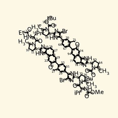 CCC(=O)N[C@H](C(=O)N1[C@@H](C)CC[C@H]1c1nc2ccc3cc4c(cc3c2[nH]1)OCc1cc(-c2[nH]c([C@@H]3CC[C@H](C)N3C(=O)[C@@H](NC(=O)OC)C(C)C)nc2Br)ccc1-4)C(C)C.C[C@H]1CC[C@@H](c2nc(Br)c(-c3ccc4c(c3)COc3cc5c(ccc6nc([C@@H]7CC[C@H](C)N7C(=O)OC(C)(C)C)[nH]c65)cc3-4)[nH]2)N1C(=O)OC(C)(C)C